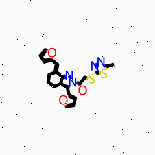 Cc1nnc(SCC(=O)N2N=C3/C(=C/c4ccco4)CCCC3C2c2ccco2)s1